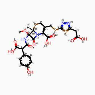 CO[C@@]1(NC(=O)C(C(=O)O)c2ccc(O)cc2)C(=O)N2C(C(=O)O)=C(CSc3nnc(CC(=O)O)s3)CS[C@H]21